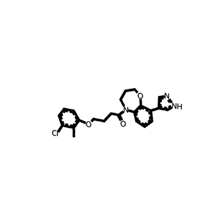 Cc1c(Cl)cccc1OCCCC(=O)N1CCCOc2c(-c3cn[nH]c3)cccc21